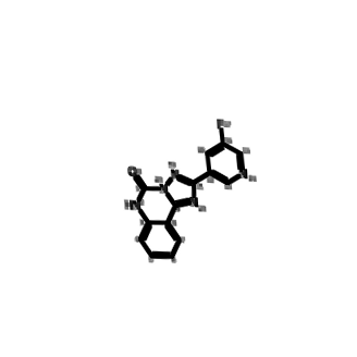 O=c1[nH]c2ccccc2c2nc(-c3cncc(F)c3)nn12